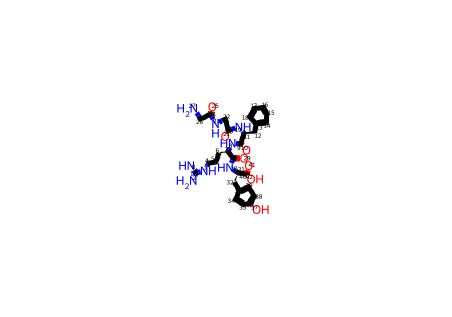 N=C(N)NCCC[C@H](NC(=O)[C@H](Cc1ccccc1)NC(=O)CNC(=O)CN)C(=O)N[C@@H](Cc1ccc(O)cc1)C(=O)O